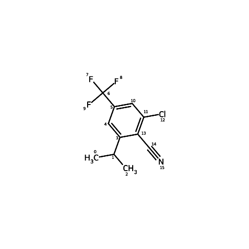 CC(C)c1cc(C(F)(F)F)cc(Cl)c1C#N